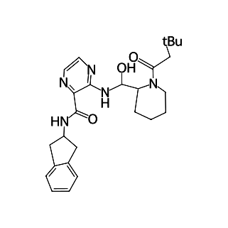 CC(C)(C)CC(=O)N1CCCCC1C(O)Nc1nccnc1C(=O)NC1Cc2ccccc2C1